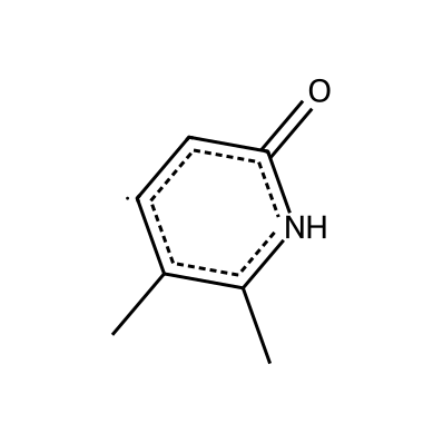 Cc1[c]cc(=O)[nH]c1C